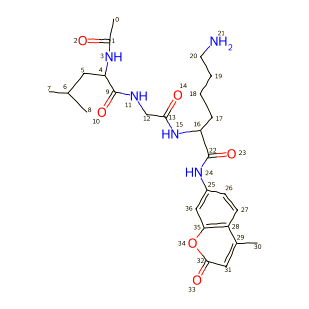 CC(=O)NC(CC(C)C)C(=O)NCC(=O)NC(CCCCN)C(=O)Nc1ccc2c(C)cc(=O)oc2c1